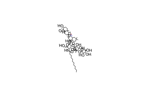 C/C=C1/C2CC(C)(C)CCC2(C(=O)O[C@@H]2O[C@H](CO)C(NC(=O)CCCCCCCCCCC)C(O)C2O[C@@H]2O[C@H](C)C(O[C@@H]3OC[C@@H](O)C(O)C3O)C(O)C2O)[C@@H](O)C[C@@]1(C)[C@]1(C)CC[C@H]2C(C)(C=O)C(O)CCC2(C)C1C